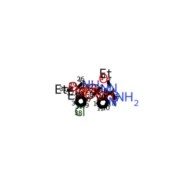 CCOCc1nc2c(N)nc3ccccc3c2n1CC(C)(O)O[P@@](=O)(N[C@@H](C)C(=O)OC(CC)CC)Oc1ccc(Cl)cc1